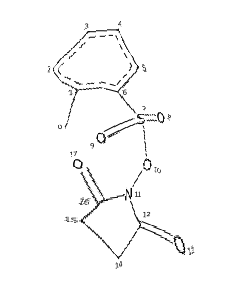 Cc1ccccc1S(=O)(=O)ON1C(=O)CCC1=O